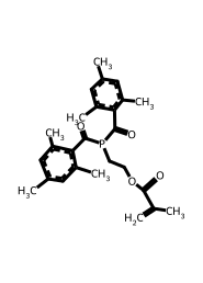 C=C(C)C(=O)OCCP(C(=O)c1c(C)cc(C)cc1C)C(=O)c1c(C)cc(C)cc1C